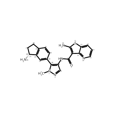 Cn1ncc(NC(=O)c2c(N)sc3cccnc23)c1-c1ccc2c(c1)[C@H](N)CC2